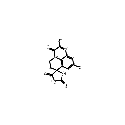 CC(C)c1nc2cc(Cl)cc3c2n(c1=O)CCC31NC(=O)NC1=O